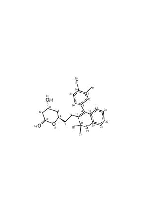 Cc1cc(C2=C(CC[C@@H]3C[C@@H](O)CC(=O)O3)C(C)(C)Sc3ccccc32)ccc1F